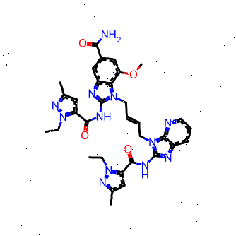 CCn1nc(C)cc1C(=O)Nc1nc2cccnc2n1CC=CCn1c(NC(=O)c2cc(C)nn2CC)nc2cc(C(N)=O)cc(OC)c21